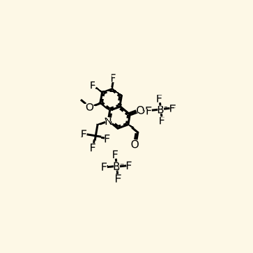 COc1c(F)c(F)cc2c(=O)c(C=O)cn(CC(F)(F)F)c12.F[B-](F)(F)F.F[B-](F)(F)F